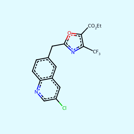 CCOC(=O)c1oc(Cc2ccc3ncc(Cl)cc3c2)nc1C(F)(F)F